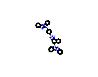 c1ccc2c(c1)nc1n(-c3ccc(-n4nc5cc(-n6c7ccccc7n7c8ccccc8nc67)c6ccccc6c5n4)cc3)c3ccccc3n21